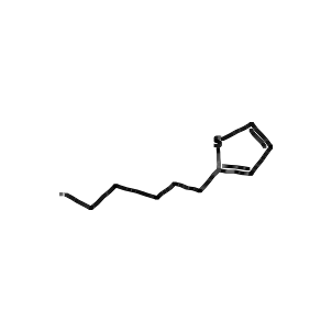 [CH2]CCCCCc1cccs1